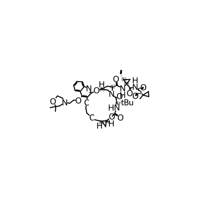 C=C[C@@H]1C[C@]1(NC(=O)[C@@H]1C[C@@H]2CN1C(=O)[C@H](C(C)(C)C)NC(=O)O[C@@H]1C[C@H]1CCCCCc1c(nc3ccccc3c1OCCN1CCOC(C)(C)C1)O2)C(=O)NS(=O)(=O)C1(C)CC1